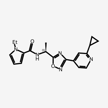 CCn1cccc1C(=O)N[C@@H](C)c1nc(-c2ccnc(C3CC3)c2)no1